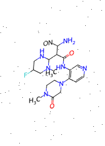 CN1CCN(c2ccncc2NC(=O)C(C(N)N=O)C2NCC(F)CN2C)CC1=O